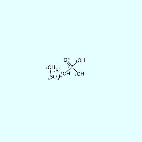 O=P(O)(O)O.O=S(=O)(O)O.[B]